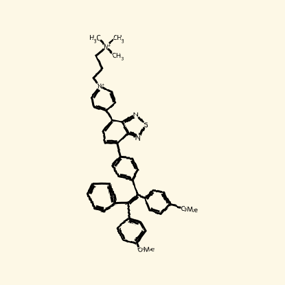 COc1ccc(/C(=C(\c2ccc(OC)cc2)c2ccc(-c3ccc(-c4cc[n+](CCC[N+](C)(C)C)cc4)c4nsnc34)cc2)c2ccccc2)cc1